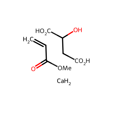 C=CC(=O)OC.O=C(O)CC(O)C(=O)O.[CaH2]